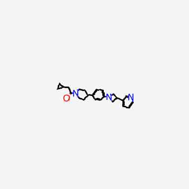 O=C(CC1CC1)N1CCC(c2ccc(N3CC(c4cccnc4)C3)cc2)CC1